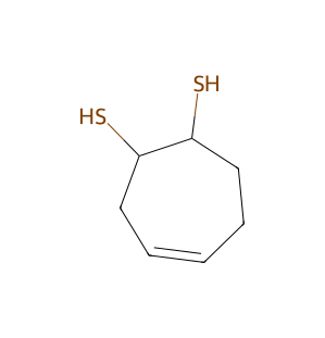 SC1CC=CCCC1S